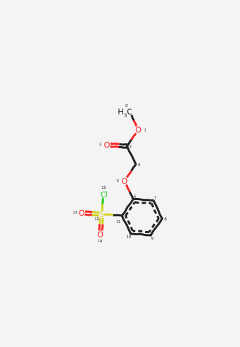 COC(=O)COc1ccccc1S(=O)(=O)Cl